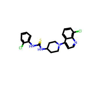 S=C(Nc1ccccc1Cl)NC1CCN(c2ccnc3c(Cl)cccc23)CC1